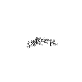 COc1cccc(S(=O)(=O)Nc2noc3cc(Cn4cc(CNC(=O)O)cn4)cc(OC)c23)c1